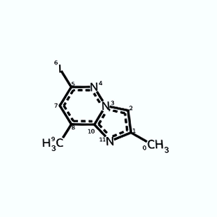 Cc1cn2nc(I)cc(C)c2n1